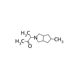 CC(=O)C(C)N1CC2CC(C)CC2C1